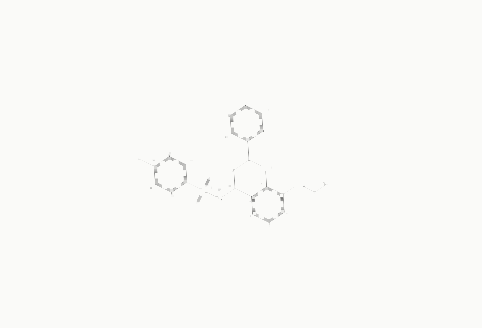 O=C(O)COc1cccc2c1OC(c1ccccc1)CC2NS(=O)(=O)c1ccc(Cl)cc1